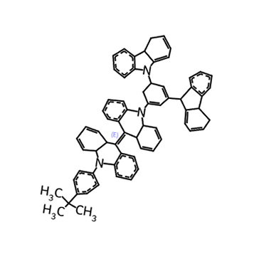 CC(C)(C)c1ccc(N2c3ccccc3/C(=C3/c4ccccc4N(C4=CC(C5C6=CC=CCC6c6ccccc65)=CC(N5C6=CC=CCC6c6ccccc65)C4)C4C=CC=CC34)C3C=CC=CC32)cc1